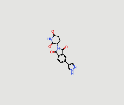 O=C1CCC(N2C(=O)c3ccc(-c4cn[nH]c4)cc3C2=O)C(=O)N1